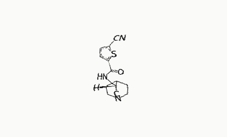 N#Cc1ccc(C(=O)N[C@H]2CN3CCC2CC3)s1